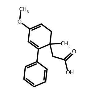 COC1=CCC(C)(CC(=O)O)C(c2ccccc2)=C1